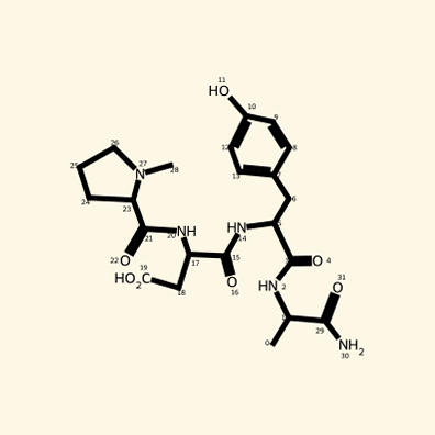 CC(NC(=O)C(Cc1ccc(O)cc1)NC(=O)C(CC(=O)O)NC(=O)C1CCCN1C)C(N)=O